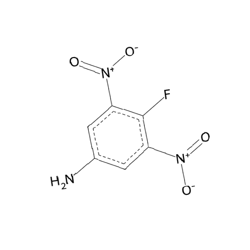 Nc1cc([N+](=O)[O-])c(F)c([N+](=O)[O-])c1